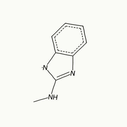 CNC1=Nc2ccccc2[N]1